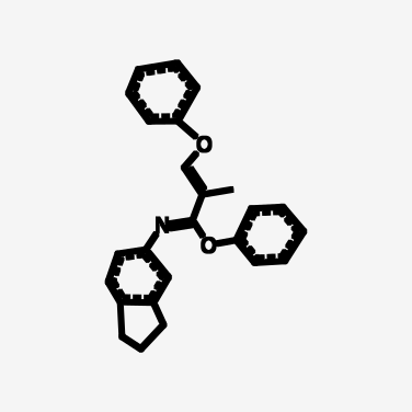 CC(=COc1ccccc1)C(=Nc1ccc2c(c1)CCC2)Oc1ccccc1